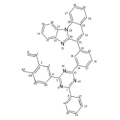 C=Cc1cc(-c2nc(-c3ccccc3)nc(-c3cccc(-c4cc5ccccc5n5c4nc4ccccc45)c3)n2)ccc1C